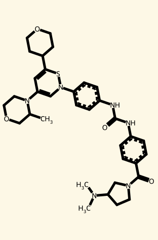 CC1COCCN1C1=CN(c2ccc(NC(=O)Nc3ccc(C(=O)N4CCC(N(C)C)C4)cc3)cc2)SC(C2CCOCC2)=C1